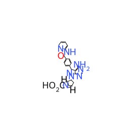 Nc1ncnc2c1c(-c1ccc(C(=O)Nc3ccccn3)cc1)nn2[C@H]1C[C@H]2C[C@@H]1N(C(=O)O)C2